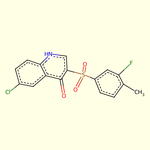 Cc1ccc(S(=O)(=O)c2c[nH]c3ccc(Cl)cc3c2=O)cc1F